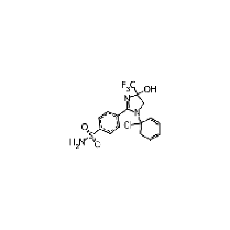 NS(=O)(=O)c1ccc(C2=NC(O)(C(F)(F)F)CN2C2(Cl)C=CC=CC2)cc1